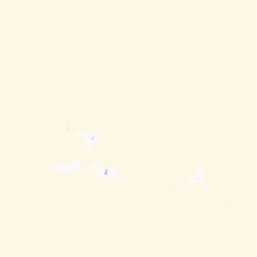 CN(C)Cc1ccc(COc2ccc3ccccc3c2C(=O)NC(=N)N)cc1.Cl.O